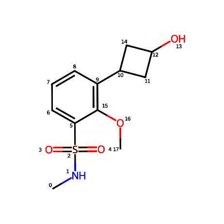 CNS(=O)(=O)c1cccc(C2CC(O)C2)c1OC